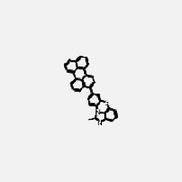 Cc1nc2cccc3c2n1-c1ccc(-c2ccc4c5cccc6cccc(c7cccc2c74)c65)cc1S3